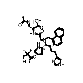 CC(=O)NC[C@H](NC(=O)CN(Cc1cccc2ccccc12)C(C(=O)CCc1c[nH]cn1)[C@@H]1CCCN1)C(=O)O.O=C(O)C(F)(F)F